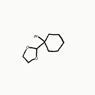 BrC1(C2OCCO2)CCCCC1